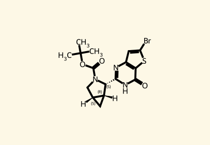 CC(C)(C)OC(=O)N1C[C@H]2C[C@H]2[C@H]1c1nc2cc(Br)sc2c(=O)[nH]1